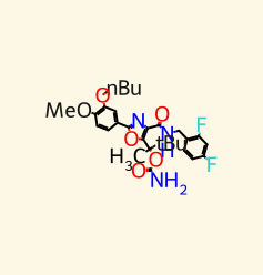 CCCCOc1cc(-c2nc(C(=O)NCc3ccc(F)cc3F)c(C(C)(OC(N)=O)C(C)(C)C)o2)ccc1OC